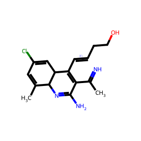 CC(=N)C1=C(/C=C/CCO)C2C=C(Cl)C=C(C)C2N=C1N